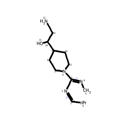 CCC/C=N\C(=N/C)N1CCC(C(O)CN)CC1